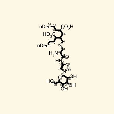 CCCCCCCCCCCCC(C(=O)O)C(CSC[C@@H](N)C(=O)Nc1cn([C@H]2OC(CO)C(O)C(O)C2O)nn1)C[C@@H](CCCCCCCCCCCC)C(=O)O